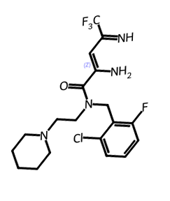 N=C(/C=C(\N)C(=O)N(CCN1CCCCC1)Cc1c(F)cccc1Cl)C(F)(F)F